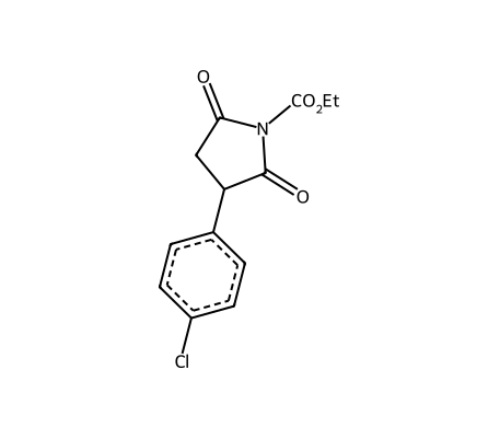 CCOC(=O)N1C(=O)CC(c2ccc(Cl)cc2)C1=O